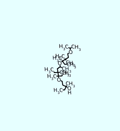 CCC(C)(O)CCOC(C)(CC)C(C)(CC)CC(C)OC(C)(CC)C(C)(C)CCOC(C)C